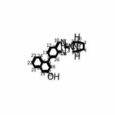 CN1[C@@H]2CC[C@H]1CN(c1ncc3ccc(-c4cc(O)cc5ccccc45)cc3n1)C2